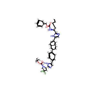 CCCC[C@H](NC(=O)OCc1ccccc1)c1ncc(-c2ccc3cc(-c4ccc(-c5cnc([C@@H]6CC(F)(F)CN6C(=O)OC(C)(C)C)[nH]5)cc4)ccc3c2)[nH]1